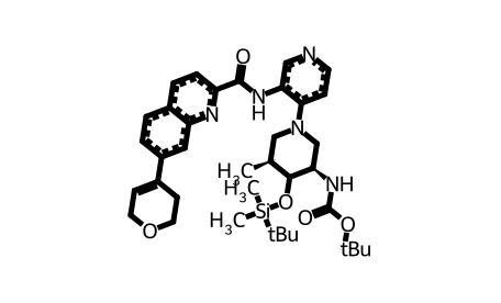 C[C@H]1CN(c2ccncc2NC(=O)c2ccc3ccc(C4=CCOCC4)cc3n2)C[C@@H](NC(=O)OC(C)(C)C)C1O[Si](C)(C)C(C)(C)C